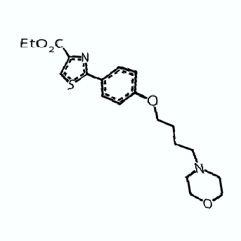 CCOC(=O)c1csc(-c2ccc(OCCCCN3CCOCC3)cc2)n1